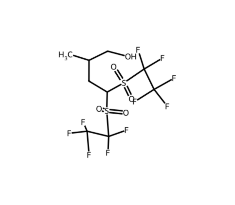 CC(CO)CC(S(=O)(=O)C(F)(F)C(F)(F)F)S(=O)(=O)C(F)(F)C(F)(F)F